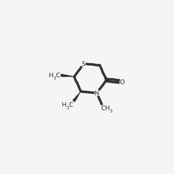 C[C@H]1SCC(=O)N(C)[C@H]1C